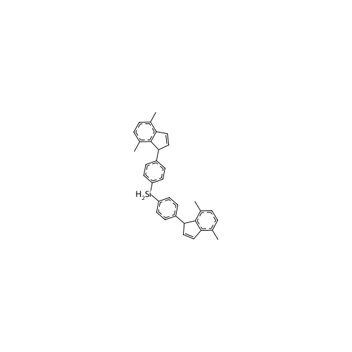 Cc1ccc(C)c2c1C=CC2c1ccc([SiH2]c2ccc(C3C=Cc4c(C)ccc(C)c43)cc2)cc1